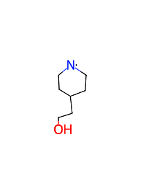 OCCC1CC[N]CC1